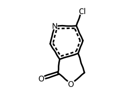 O=C1OCc2cc(Cl)ncc21